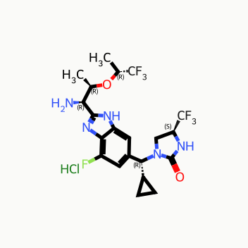 C[C@@H](O[C@H](C)C(F)(F)F)[C@H](N)c1nc2c(F)cc([C@@H](C3CC3)N3C[C@@H](C(F)(F)F)NC3=O)cc2[nH]1.Cl